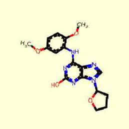 COc1ccc(OC)c(Nc2nc(O)nc3c2ncn3C2CCCO2)c1